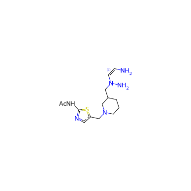 CC(=O)Nc1ncc(CN2CCCC(CN(N)/C=C\N)C2)s1